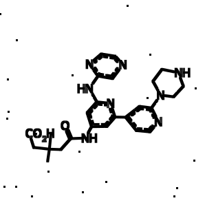 CC(C)(CC(=O)O)CC(=O)Nc1cc(Nc2cnccn2)nc(-c2ccnc(N3CCNCC3)c2)c1